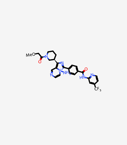 COCC(=O)N1CCC[C@@H](C2=C3C=NC=C[N+]3(N)C(c3ccc(C(=O)Nc4cc(C(F)(F)F)ccn4)cc3)=N2)C1